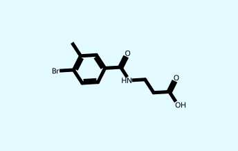 Cc1cc(C(=O)NCCC(=O)O)ccc1Br